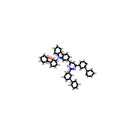 c1ccc(-c2cccc(-c3cc(-c4ccc5c6ccccc6n(-c6cccc7c6oc6ccccc67)c5c4)nc(-c4cccc(-c5ccccc5)c4)n3)c2)cc1